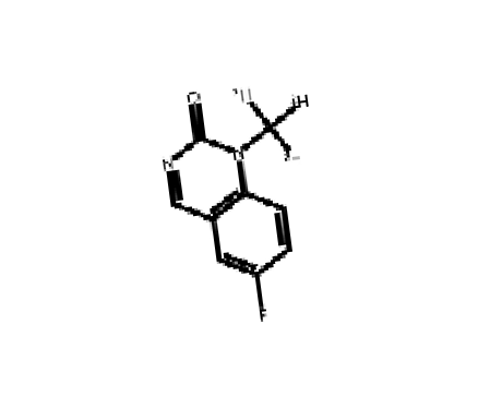 [2H]C([2H])([2H])n1c(=O)ncc2cc(F)ccc21